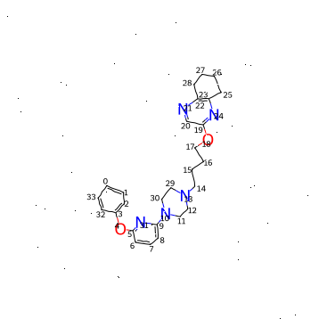 c1ccc(Oc2cccc(N3CCN(CCCCOc4cnc5c(n4)CCCC5)CC3)n2)cc1